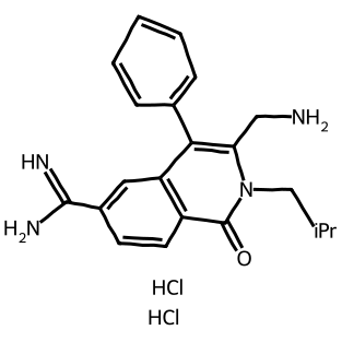 CC(C)Cn1c(CN)c(-c2ccccc2)c2cc(C(=N)N)ccc2c1=O.Cl.Cl